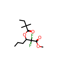 CCCC(OC(=O)C(C)(C)CC)C(F)(F)C(=O)OC